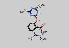 CON=C(C)c1cccc(Oc2nc(OC)nc(OC)n2)c1C(=O)OC